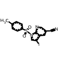 Cc1ccc(S(=O)(=O)n2cc(I)c3cc(C#N)cnc32)cc1